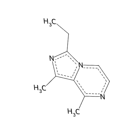 CCc1nc(C)c2c(C)nccn12